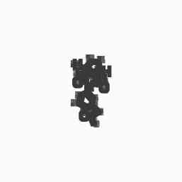 Cc1cc2cc(N3C(=O)[C@H]4[C@@H]5CC[C@@H](C(=O)C5)[C@H]4C3=O)ccc2o1